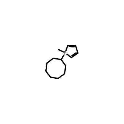 C[P]1(C2CCCCCCC2)C=CC=C1